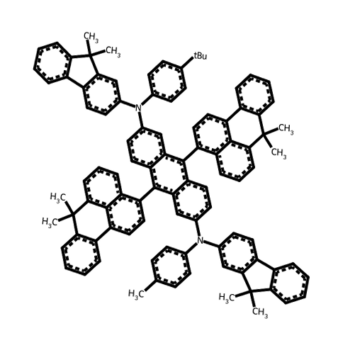 Cc1ccc(N(c2ccc3c(c2)C(C)(C)c2ccccc2-3)c2ccc3c(-c4ccc5c6c(cccc46)C(C)(C)c4ccccc4-5)c4cc(N(c5ccc(C(C)(C)C)cc5)c5ccc6c(c5)C(C)(C)c5ccccc5-6)ccc4c(-c4ccc5c6c(cccc46)C(C)(C)c4ccccc4-5)c3c2)cc1